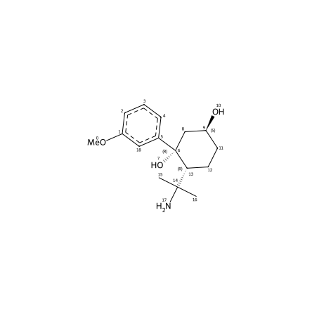 COc1cccc([C@@]2(O)C[C@@H](O)CC[C@@H]2C(C)(C)N)c1